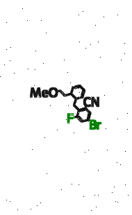 COCCC1C=CC=CC1Cc1c(F)cc(Br)cc1C#N